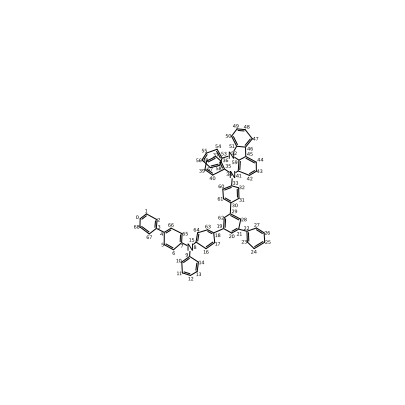 c1ccc(-c2ccc(N(c3ccccc3)c3ccc(-c4cc(-c5ccccc5)cc(-c5ccc(N(c6ccccc6)c6cccc7c8ccccc8n(-c8ccccc8)c67)cc5)c4)cc3)cc2)cc1